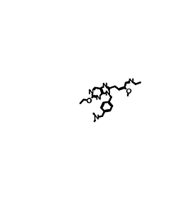 CC/N=C\C(=C/Cc1nc2cnc(OCC)nc2n1Cc1ccc(CN(C)C)cc1)OC